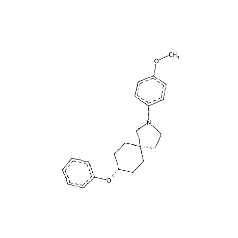 COc1ccc(N2CC[C@]3(CC[C@@H](Oc4ccccc4)CC3)C2)cc1